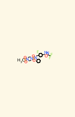 CS(=O)(=O)N1CCN(S(=O)(=O)N(Cc2ccc(-c3nnc(C(F)F)o3)cc2F)c2ccccc2)CC1